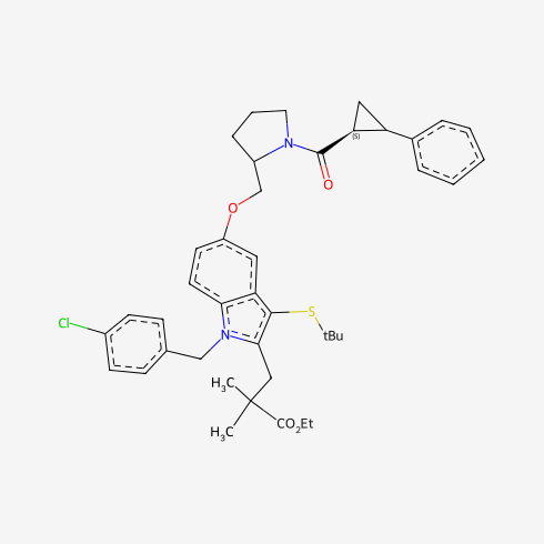 CCOC(=O)C(C)(C)Cc1c(SC(C)(C)C)c2cc(OCC3CCCN3C(=O)[C@H]3CC3c3ccccc3)ccc2n1Cc1ccc(Cl)cc1